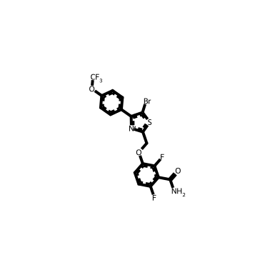 NC(=O)c1c(F)ccc(OCc2nc(-c3ccc(OC(F)(F)F)cc3)c(Br)s2)c1F